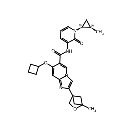 C[C@@H]1C[C@@H]1n1cccc(NC(=O)c2cn3cc(C45COC(C)(C4)C5)nc3cc2OC2CCC2)c1=O